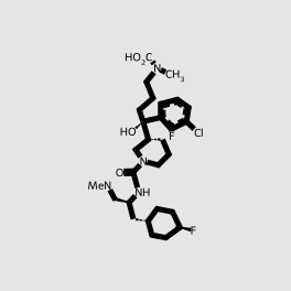 CNC[C@H](C[C@H]1CC[C@H](F)CC1)NC(=O)N1CCC[C@@H]([C@@](O)(CCCN(C)C(=O)O)c2cccc(Cl)c2F)C1